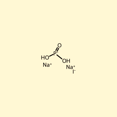 O=[P-](O)O.[I-].[Na+].[Na+]